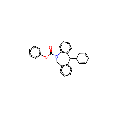 O=C(Oc1ccccc1)N1Cc2ccccc2C(C2C=CC=CC2)c2ccccc21